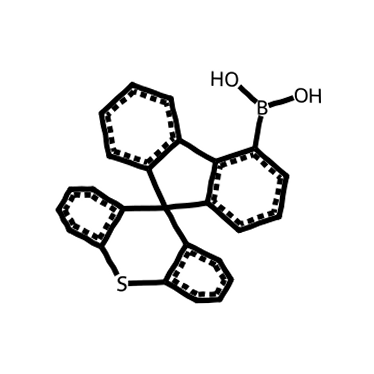 OB(O)c1cccc2c1-c1ccccc1C21c2ccccc2Sc2ccccc21